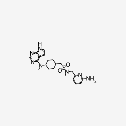 CN(c1ncnc2[nH]ccc12)C1CCC(CS(=O)(=O)N(C)Cc2cccc(N)n2)CC1